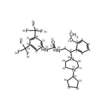 COc1ccccc1C(CNC(=O)Nc1cc(C(F)(F)F)cc(C(F)(F)F)c1)N1CCN(C2CCCC2)CC1